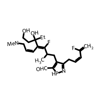 C=C(F)/C=C\Cc1n[pH]c(C=O)c1CC(C)/C(F)=C(\C=C/CNC)C(O)(CC)CCO